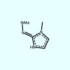 CNN=c1[nH]ccn1C